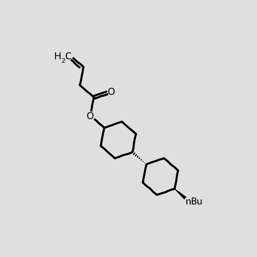 C=CCC(=O)OC1CCC([C@H]2CC[C@H](CCCC)CC2)CC1